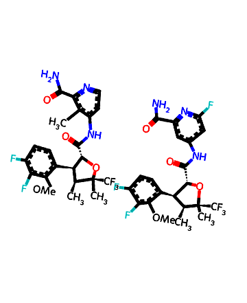 COc1c([C@H]2[C@H](C(=O)Nc3cc(F)nc(C(N)=O)c3)O[C@@](C)(C(F)(F)F)[C@H]2C)ccc(F)c1F.COc1c([C@H]2[C@H](C(=O)Nc3ccnc(C(N)=O)c3C)O[C@@](C)(C(F)(F)F)[C@H]2C)ccc(F)c1F